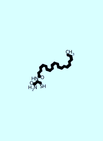 CC/C=C\C/C=C\C/C=C\C/C=C\C/C=C\C/C=C\CCC(=O)NC(CS)C(N)=O